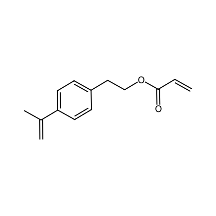 C=CC(=O)OCCc1ccc(C(=C)C)cc1